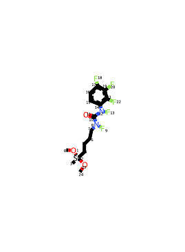 CO[Si](C)(CCCCN(F)C(=O)N(F)c1ccc(F)c(F)c1F)OC